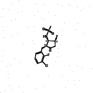 CS(=O)(=O)N[C@@H]1[C@H](Cc2cccc(Cl)c2F)NC[C@@H]1F